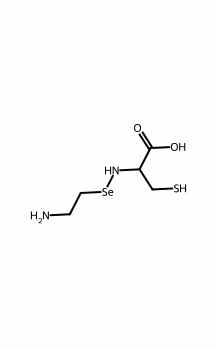 NCC[Se]NC(CS)C(=O)O